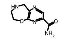 NC(=O)c1cnc2c(n1)OCCNC2